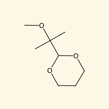 COC(C)(C)C1OCCCO1